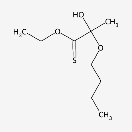 CCCCOC(C)(O)C(=S)OCC